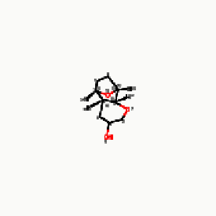 OC1CO[C@@H]2[C@H](C1)[C@@H]1CC[C@H]2O1